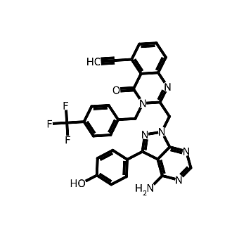 C#Cc1cccc2nc(Cn3nc(-c4ccc(O)cc4)c4c(N)ncnc43)n(Cc3ccc(C(F)(F)F)cc3)c(=O)c12